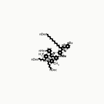 CCCCCCCCCCCCCCCCCCCCC=CC1=C(c2cccc(CCCC)c2)[N+](=[N-])C(c2cccc(CCCC)c2)=C1CCCC.CCCCCCCCCCCCCC[CH2][Pd][CH2]CCCCCCCCCCCCCC.CCCCCCc1cccc(C2=CC=C(c3cccc(CCCCCC)c3)[N+]2=[N-])c1.Cc1cc[c]([Ni][c]2ccc(C)cc2)cc1